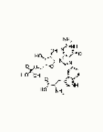 N[C@@H](Cc1c[nH]c2ccccc12)C(=O)O.Nc1nc2c(ncn2[C@@H]2O[C@H](COP(=O)(O)O)[C@@H](O)[C@H]2O)c(=O)[nH]1